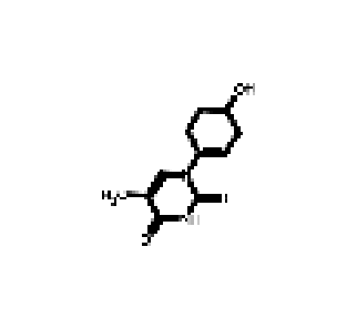 Cc1cn(C2=CCC(O)CC2)c(=O)[nH]c1=O